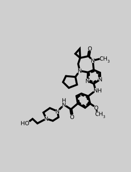 COc1cc(C(=O)NN2CCN(CCO)CC2)ccc1Nc1ncc2c(n1)N(C1CCCC1)CC1(CC1)C(=O)N2C